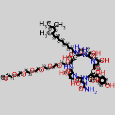 C=C1NC([C@H](O)CC(N)=O)C(=O)N2CC[C@H](O)C2C(=O)N[C@H](OCCOCCOCCOCCOCCOCCOCCOC)[C@H](O)C[C@H](NC(=O)CCCCCCCCC(C)CC(C)CC)C(=O)NC([C@@H](C)O)C(=O)N2C[C@H](O)CC2C(=O)CC1[C@H](O)[C@@H](O)c1ccc(O)cc1